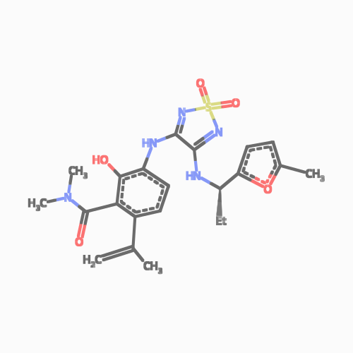 C=C(C)c1ccc(NC2=NS(=O)(=O)N=C2N[C@H](CC)c2ccc(C)o2)c(O)c1C(=O)N(C)C